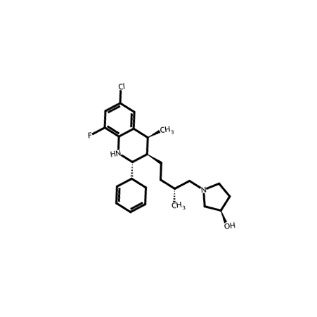 C[C@H](CC[C@@H]1[C@H](C)c2cc(Cl)cc(F)c2N[C@H]1C1C=CC=CC1)CN1CC[C@@H](O)C1